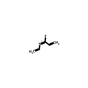 C=C/N=C(/F)C=C